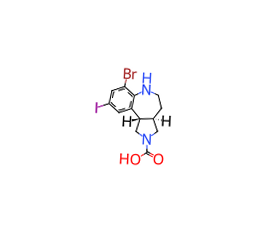 O=C(O)N1C[C@@H]2CCNc3c(Br)cc(I)cc3[C@H]2C1